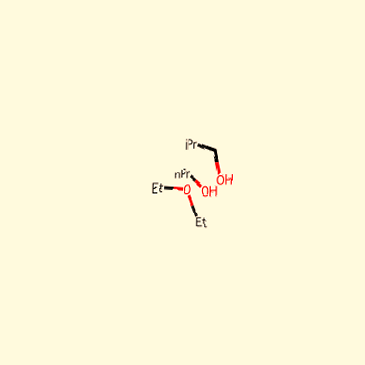 CC(C)CO.CCCO.CCOCC